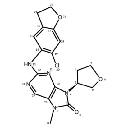 Cn1c(=O)n([C@H]2CCOC2)c2nc(Nc3cc4c(cc3Cl)OCC4)ncc21